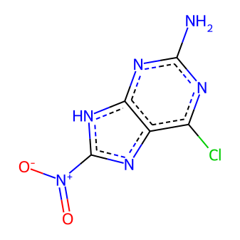 Nc1nc(Cl)c2nc([N+](=O)[O-])[nH]c2n1